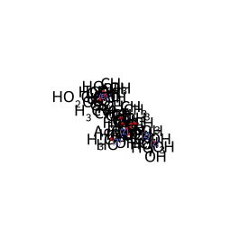 CCC(OC(C)=O)/C(OC(O)/C(O)=C(/O)C(C)O)=C(/O)C(O)OC(CC)C(O)C(CO)(OC(=O)[C@]12CCC(C)(C)CC1C1=CCC3[C@@]4(C)CC[C@H](OC5(OC(O)/C(O)=C(\O)C(O)CCO)COC(C(=O)O)C(O)C5OC(O)C(O)C(O)C(C)O)C(C)(C)C4CC[C@@]3(C)[C@]1(C)C[C@H]2O)OC1OC(C)C(OC(O)/C(O)=C(/OC(O)/C(O)=C(/O)C(O)CCO)C(C)O)C(O)C1O